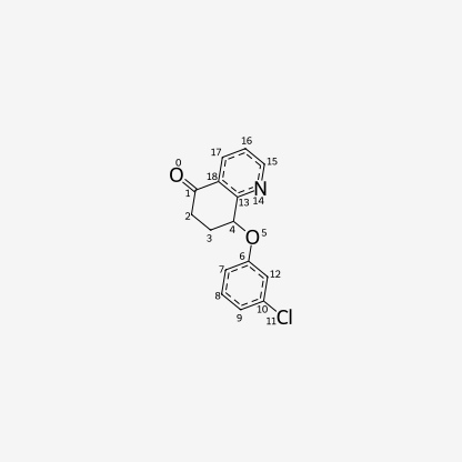 O=C1CCC(Oc2cccc(Cl)c2)c2ncccc21